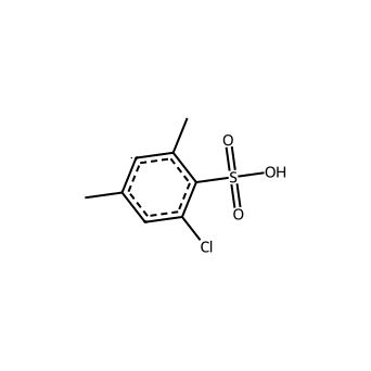 Cc1[c]c(C)c(S(=O)(=O)O)c(Cl)c1